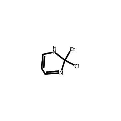 CCC1(Cl)N=CC=CN1